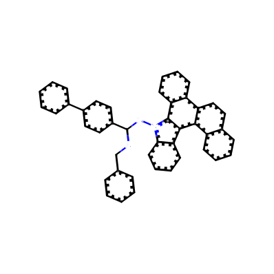 c1ccc(CNC(Nn2c3ccccc3c3c4c5ccccc5ccc4c4ccccc4c32)c2ccc(-c3ccccc3)cc2)cc1